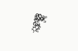 Cc1cccc2c(OC3C[C@@H](C=O)N(C(=O)OC(C)(C)C)C3)nccc12